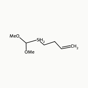 C=CCC[SiH2]C(OC)OC